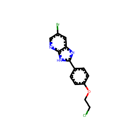 ClCCOc1ccc(-c2nc3cc(Br)cnc3[nH]2)cc1